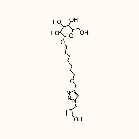 OCC1OC(OCCCCCCCOCc2cn(CC3CCC3O)nn2)C(O)C(O)C1O